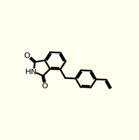 C=Cc1ccc(Cc2cccc3c2C(=O)NC3=O)cc1